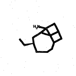 CC[C@@H]1CCCC2CC3CC4(N)C(C1)C234